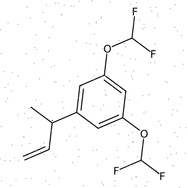 C=C[C](C)c1cc(OC(F)F)cc(OC(F)F)c1